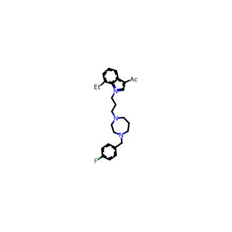 CCc1cccc2c(C(C)=O)cn(CCCN3CCCN(Cc4ccc(F)cc4)CC3)c12